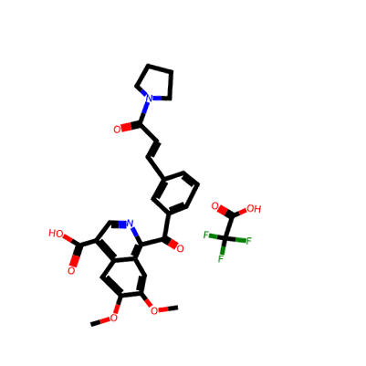 COc1cc2c(C(=O)O)cnc(C(=O)c3cccc(C=CC(=O)N4CCCC4)c3)c2cc1OC.O=C(O)C(F)(F)F